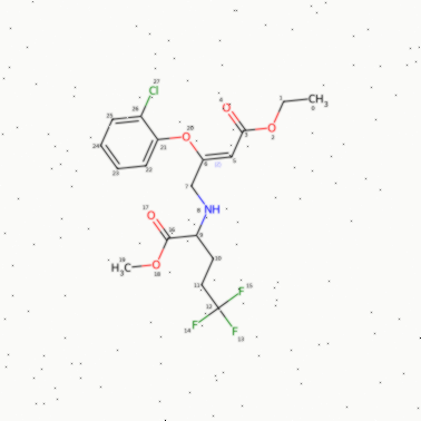 CCOC(=O)/C=C(/CNC(CCC(F)(F)F)C(=O)OC)Oc1ccccc1Cl